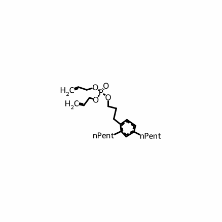 C=CCOP(=O)(OCC=C)OCCCc1ccc(CCCCC)cc1CCCCC